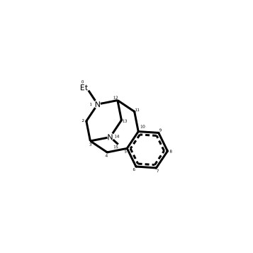 CCN1CC2Cc3ccccc3CC1CN2C